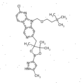 Cc1cc(B2OC(C)(C)C(C)(Cc3cc4c(cn3)c3ccc(Cl)nc3n4COCC[Si](C)(C)C)O2)n[nH]1